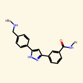 CCCCNCc1ccc(-c2cc(-c3cccc(C(=O)NC(C)C)c3)n[nH]2)cc1